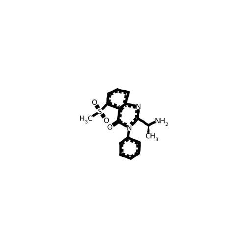 C[C@H](N)c1nc2cccc(S(C)(=O)=O)c2c(=O)n1-c1ccccc1